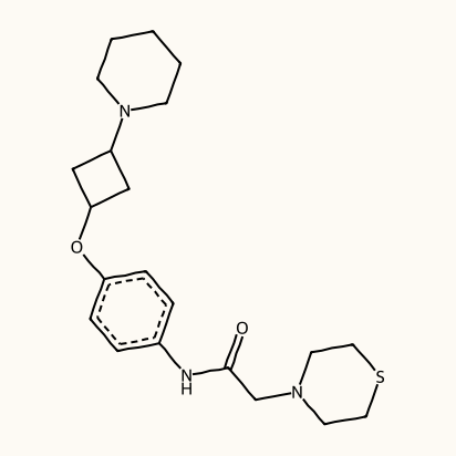 O=C(CN1CCSCC1)Nc1ccc(OC2CC(N3CCCCC3)C2)cc1